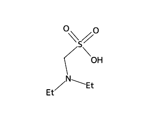 CCN(CC)CS(=O)(=O)O